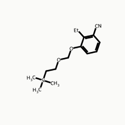 CCc1c(C#N)cccc1OCOCC[Si](C)(C)C